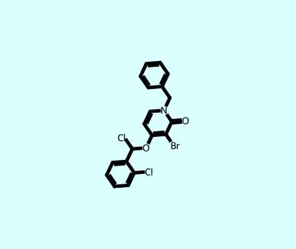 O=c1c(Br)c(OC(Cl)c2ccccc2Cl)ccn1Cc1ccccc1